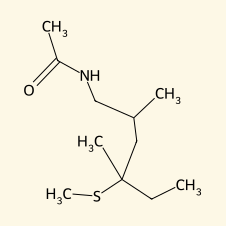 CCC(C)(CC(C)CNC(C)=O)SC